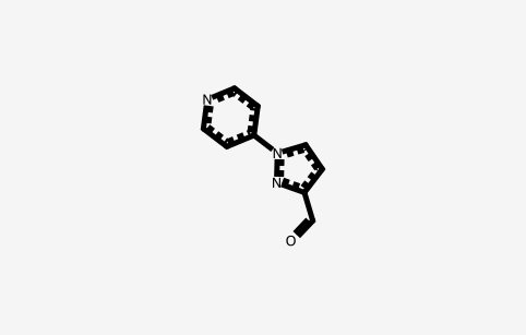 O=Cc1ccn(-c2ccncc2)n1